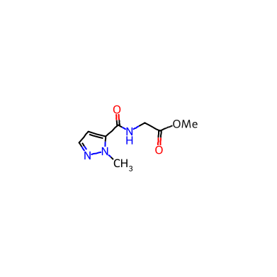 COC(=O)CNC(=O)c1ccnn1C